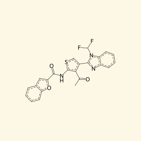 CC(=O)c1c(-c2nc3ccccc3n2C(F)F)csc1NC(=O)c1cc2ccccc2o1